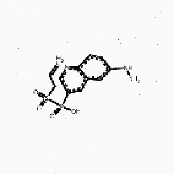 C=CCS(=O)(=O)P(=O)(O)c1cnc2ccc(NN)cc2c1